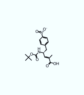 C/C(=C\[C@H](Cc1ccc([N+](=O)[O-])cc1)NC(=O)OC(C)(C)C)C(=O)O